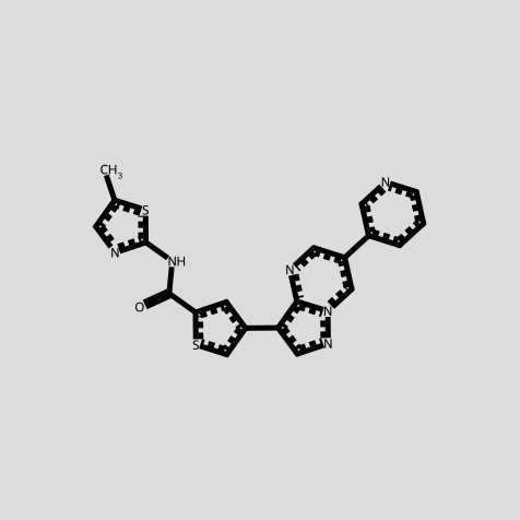 Cc1cnc(NC(=O)c2cc(-c3cnn4cc(-c5cccnc5)cnc34)cs2)s1